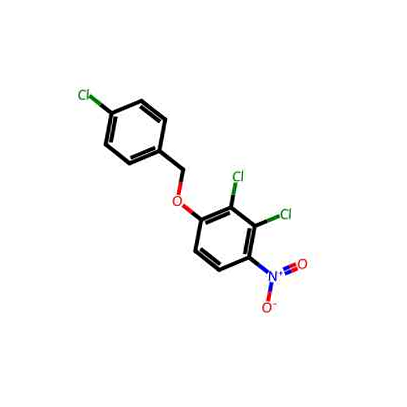 O=[N+]([O-])c1ccc(OCc2ccc(Cl)cc2)c(Cl)c1Cl